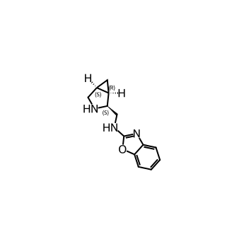 c1ccc2oc(NC[C@H]3NC[C@H]4C[C@H]43)nc2c1